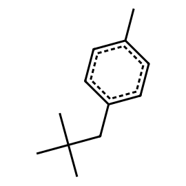 Cc1ccc(CC(C)(C)C)cc1